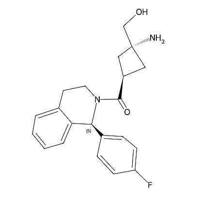 N[C@]1(CO)C[C@@H](C(=O)N2CCc3ccccc3[C@@H]2c2ccc(F)cc2)C1